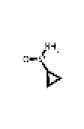 N[S+]([O-])C1CC1